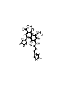 COc1c(NCCCn2ccnc2)c(F)c(N)c2c(=O)c(C(=O)O)cn(C3CCCC3)c12